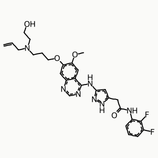 C=CCN(CCO)CCCOc1cc2ncnc(Nc3cc(CC(=O)Nc4cccc(F)c4F)[nH]n3)c2cc1OC